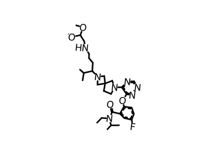 CCN(C(=O)c1cc(F)ccc1Oc1nncnc1N1CCC2(C1)CN(C(CCCNCC(OC)OC)C(C)C)C2)C(C)C